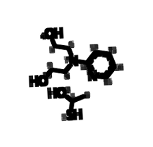 CC(O)S.OCCN(CCO)c1ccccn1